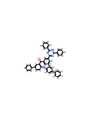 O=c1c2cc(-c3ccccc3)ccc2n2c3ccc(-c4ccccc4)cc3c3cc(-c4nc(-c5ccccc5)nc(-c5ccccc5)n4)cc1c32